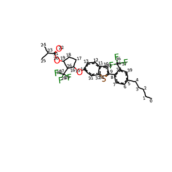 CCCCCc1ccc(-c2cc3ccc(OC4CCC(OC(=O)C(C)C)C4C(F)(F)F)cc3s2)c(C(F)(F)F)c1